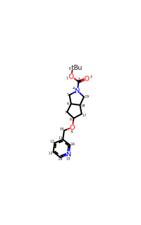 CC(C)(C)OC(=O)N1CC2CC(OCc3cccnc3)CC2C1